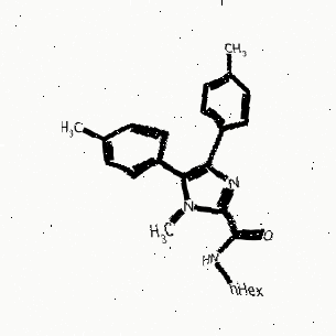 CCCCCCNC(=O)c1nc(-c2ccc(C)cc2)c(-c2ccc(C)cc2)n1C